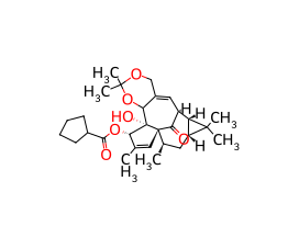 CC1=C[C@]23C(=O)[C@@H](C=C4COC(C)(C)OC4[C@]2(O)[C@H]1OC(=O)C1CCCC1)[C@H]1[C@@H](C[C@H]3C)C1(C)C